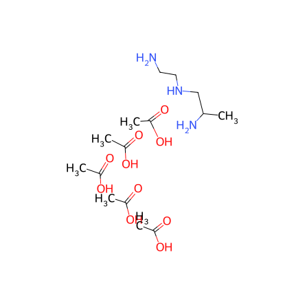 CC(=O)O.CC(=O)O.CC(=O)O.CC(=O)O.CC(=O)O.CC(N)CNCCN